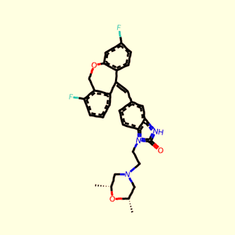 C[C@@H]1CN(CCn2c(=O)[nH]c3cc(/C=C4/c5ccc(F)cc5OCc5c(F)cccc54)ccc32)C[C@H](C)O1